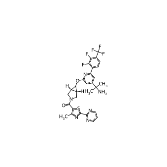 Cc1nc(-c2ncccn2)sc1C(=O)N1C[C@@H]2C(Oc3cc(C(C)(C)N)cc(-c4ccc(C(F)(F)F)c(F)c4F)n3)[C@@H]2C1